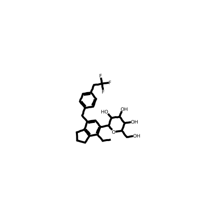 CCc1c(C2OC(CO)C(O)C(O)C2O)cc(Cc2ccc(CC(F)(F)F)cc2)c2c1CCC2